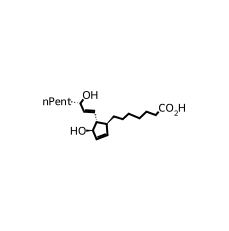 CCCCC[C@H](O)C=C[C@H]1[C@H](O)C=C[C@@H]1CCCCCCC(=O)O